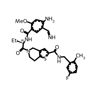 CC[C@@H](NC(=O)c1cc(C=N)c(N)cc1OC)C(=O)N1CCc2sc(C(=O)NCc3cc(F)ccc3C)cc2C1